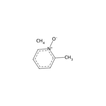 C.Cc1cccc[n+]1[O-]